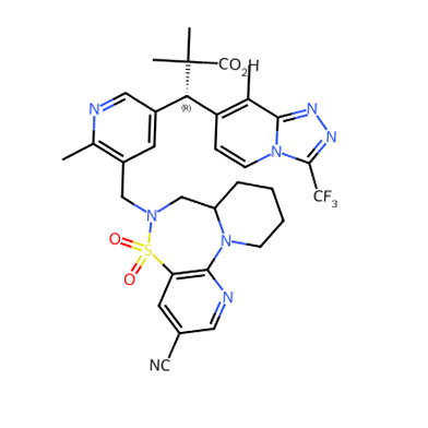 Cc1ncc([C@@H](c2ccn3c(C(F)(F)F)nnc3c2C)C(C)(C)C(=O)O)cc1CN1CC2CCCCN2c2ncc(C#N)cc2S1(=O)=O